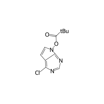 CC(C)(C)C(=O)On1ccc2c(Cl)ncnc21